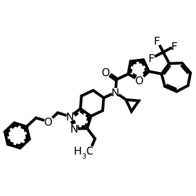 CCc1nn(COCc2ccccc2)c2c1CC(N(C(=O)c1ccc(C3=C(C(F)(F)F)C=CCC=C3)o1)C1CC1)CC2